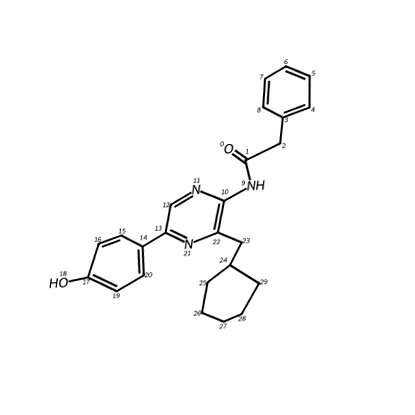 O=C(Cc1ccccc1)Nc1ncc(-c2ccc(O)cc2)nc1CC1CCCCC1